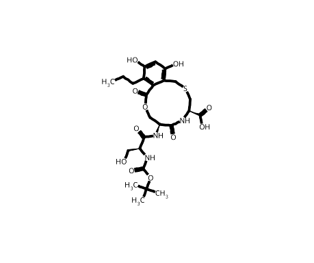 CCCc1c(O)cc(O)c2c1C(=O)OC[C@H](NC(=O)[C@H](CO)NC(=O)OC(C)(C)C)C(=O)N[C@H](C(=O)O)CSC2